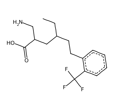 CCC(CCc1ccccc1C(F)(F)F)CC(CN)C(=O)O